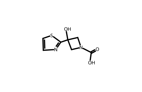 O=C(O)N1CC(O)(c2nccs2)C1